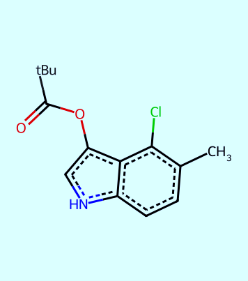 Cc1ccc2[nH]cc(OC(=O)C(C)(C)C)c2c1Cl